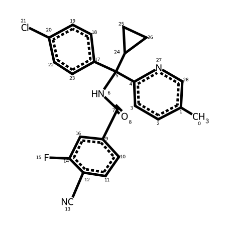 Cc1ccc(C(NC(=O)c2ccc(C#N)c(F)c2)(c2ccc(Cl)cc2)C2CC2)nc1